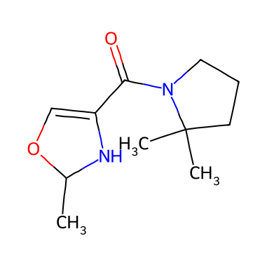 CC1NC(C(=O)N2CCCC2(C)C)=CO1